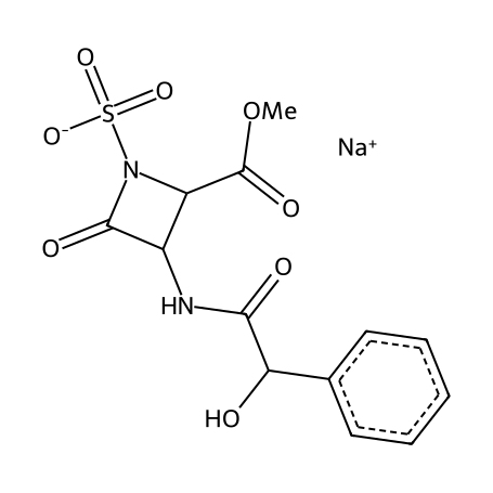 COC(=O)C1C(NC(=O)C(O)c2ccccc2)C(=O)N1S(=O)(=O)[O-].[Na+]